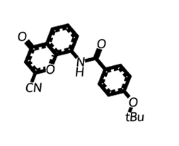 CC(C)(C)Oc1ccc(C(=O)Nc2cccc3c(=O)cc(C#N)oc23)cc1